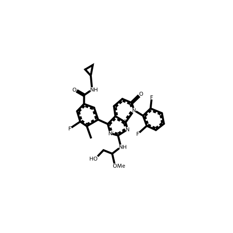 COC(CO)Nc1nc(-c2cc(C(=O)NC3CC3)cc(F)c2C)c2ccc(=O)n(-c3c(F)cccc3F)c2n1